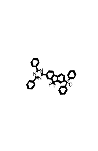 O=P(c1ccccc1)(c1ccccc1)c1ccc2c(c1)C(F)(F)c1cc(-c3nc(-c4ccccc4)nc(-c4ccccc4)n3)ccc1-2